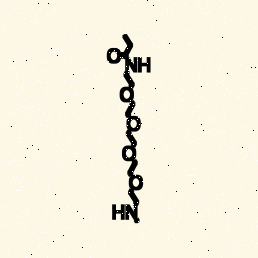 CCC(=O)NCCOCCOCCOCCOCCNC